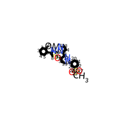 COc1ccccc1-c1csc(-n2nccc2-c2nn(-c3cccc(S(C)(=O)=O)c3)ccc2=O)n1